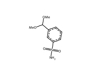 COC(OC)c1cccc(S(N)(=O)=O)c1